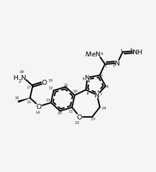 CN/C(=N\C=N)c1cn2c(n1)-c1ccc(O[C@@H](C)C(N)=O)cc1OCC2